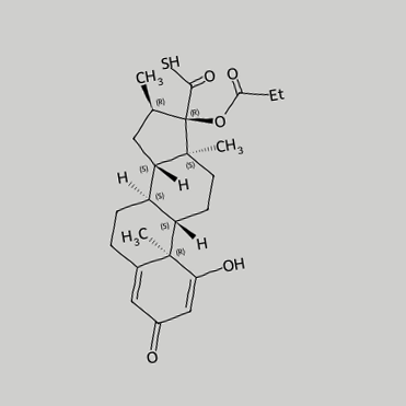 CCC(=O)O[C@]1(C(=O)S)[C@H](C)C[C@H]2[C@@H]3CCC4=CC(=O)C=C(O)[C@]4(C)[C@H]3CC[C@@]21C